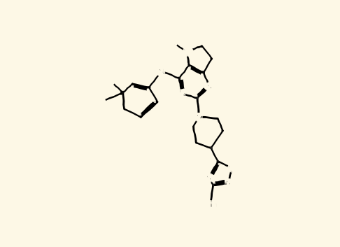 CC(C)c1noc(C2CCN(c3nc4c(c(NC5=CC(C)(F)CC=C5)n3)[S+]([O-])CC4)CC2)n1